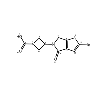 O=C(O)N1CC(N2Cc3sc(Br)cc3C2=O)C1